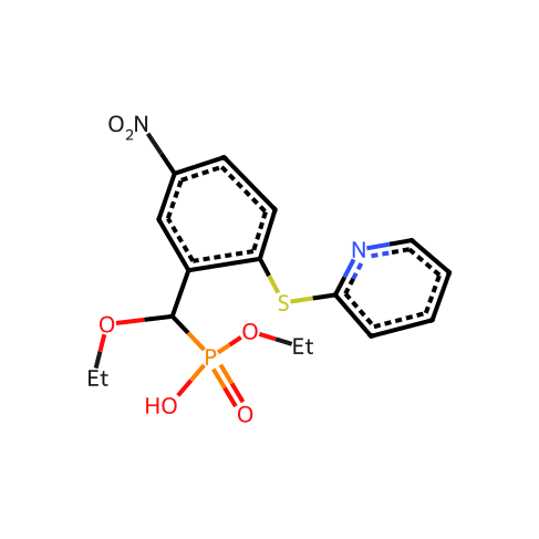 CCOC(c1cc([N+](=O)[O-])ccc1Sc1ccccn1)P(=O)(O)OCC